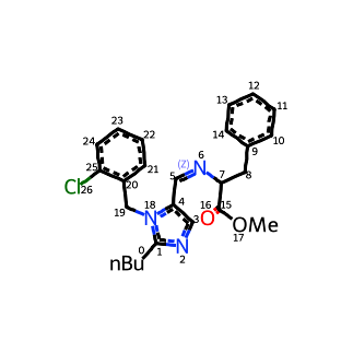 CCCCc1ncc(/C=N\C(Cc2ccccc2)C(=O)OC)n1Cc1ccccc1Cl